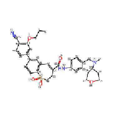 CCCOc1cc(-c2ccc3c(c2)C=C(C(=O)Nc2ccc(CN(C)C4CCOCC4)cc2)CCS3(=O)=O)ccc1C#N